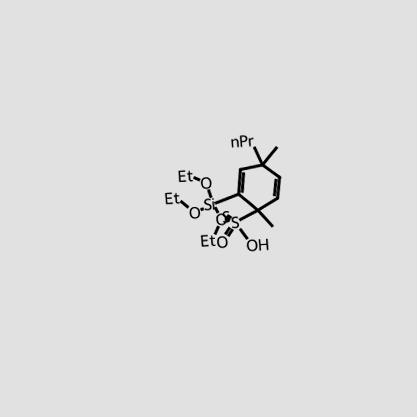 CCCC1(C)C=CC(C)(S(=O)(O)=S)C([Si](OCC)(OCC)OCC)=C1